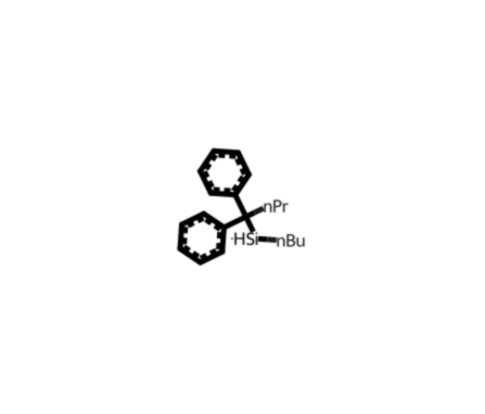 CCCC[SiH]C(CCC)(c1ccccc1)c1ccccc1